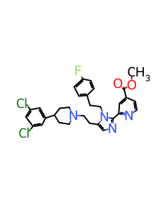 COC(=O)c1ccnc(-c2ncc(CCN3CCC(c4cc(Cl)cc(Cl)c4)CC3)n2CCc2ccc(F)cc2)c1